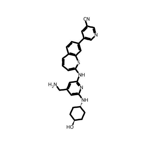 N#Cc1cncc(-c2ccc3c(c2)SC(Nc2cc(CN)cc(N[C@H]4CC[C@H](O)CC4)n2)=CC=C3)c1